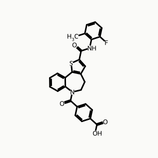 Cc1cccc(F)c1NC(=O)c1cc2c(s1)-c1ccccc1N(C(=O)c1ccc(C(=O)O)cc1)CC2